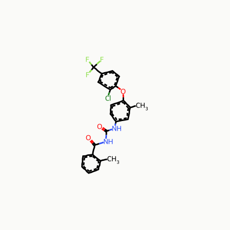 Cc1cc(NC(=O)NC(=O)c2ccccc2C)ccc1Oc1ccc(C(F)(F)F)cc1Cl